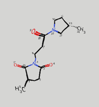 CC1CC(=O)N(CCC(=O)N2CC[C@H](C)C2)C1=O